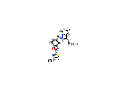 CC(C)(C)c1csc(-c2cc3cc(Cn4cc(CC(=O)O)c5ccccc54)ccc3o2)n1